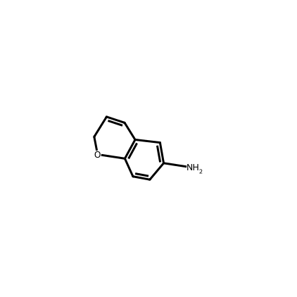 Nc1ccc2c(c1)C=CCO2